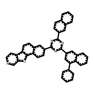 c1ccc(-c2cc(-c3nc(-c4ccc5ccccc5c4)nc(-c4ccc5c(ccc6c7ccncc7oc56)c4)n3)cc3ccccc23)cc1